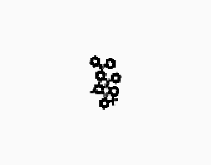 Cc1cc2c3c(c1)N1c4ccccc4C(C)(C)c4cccc(c41)B3N(c1ccccc1)c1cc(N(c3ccccc3)c3ccccc3)ccc1-2